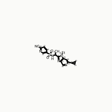 CCn1c(C(C)NS(=O)(=O)c2ccc(C#N)nc2)nc2cnc(C3CC3)cc21